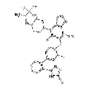 CCCc1c(Cc2ccc(-c3ccccc3-c3noc(=O)[nH]3)cc2F)c(=O)n(C2CCC(OC(C)C(C)(C)O)CC2)c2ccnn12